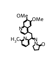 COc1cc2nccc(C/C(=N/N3CCCC3=O)c3cccc(C)n3)c2cc1OC